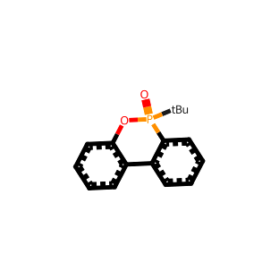 CC(C)(C)P1(=O)Oc2ccccc2-c2ccccc21